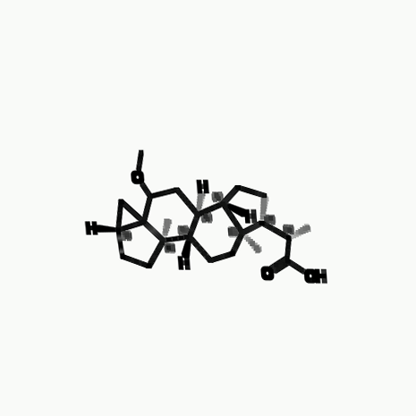 COC1C[C@H]2[C@@H]3CC[C@H]([C@H](C)C(=O)O)[C@@]3(C)CC[C@@H]2[C@@]2(C)CC[C@@H]3CC132